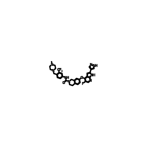 CN1CCN(Cc2ccc(NC(=O)N3CCc4ccc(Oc5c(F)cnc6[nH]c(-c7cn[nH]c7)cc56)cc4C3)cc2C(F)(F)F)CC1